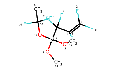 FC(F)=C(F)C(F)(F)[Si](OC(F)(F)F)(OC(F)(F)F)OC(F)(F)C(F)(F)F